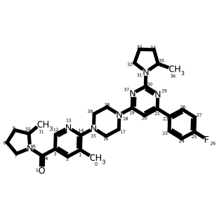 Cc1cc(C(=O)N2CCCC2C)cnc1N1CCN(c2cc(-c3ccc(F)cc3)nc(N3CCCC3C)n2)CC1